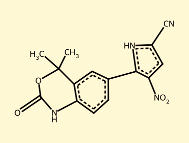 CC1(C)OC(=O)Nc2ccc(-c3[nH]c(C#N)cc3[N+](=O)[O-])cc21